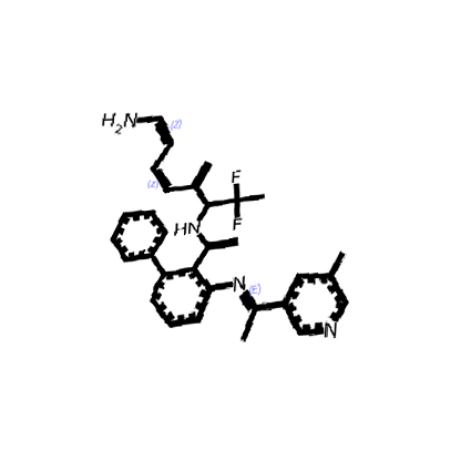 C=C(NC(C(=C)/C=C\C=C/N)C(C)(F)F)c1c(/N=C(\C)c2cncc(C)c2)cccc1-c1ccccc1